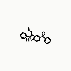 C=CCc1c(-c2ccccc2)[nH]c2ccc(C(=O)c3ccccc3)cc12